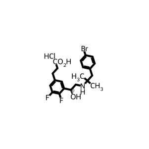 CC(C)(Cc1ccc(Br)cc1)NC[C@@H](O)c1cc(CCC(=O)O)cc(F)c1F.Cl